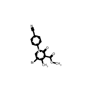 COC(=O)c1c(C)c(Br)cn(-c2ccc(C#N)cc2)c1=O